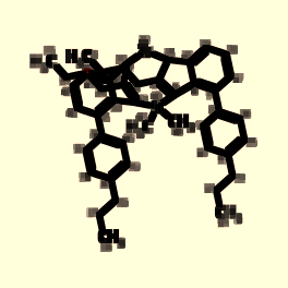 CCCCC1=C2c3c(-c4ccc(CCC)cc4)cccc3[CH]1[Zr][CH]1C(CCCC)=C(c3c(-c4ccc(CCC)cc4)cccc31)[Si]2(C)C